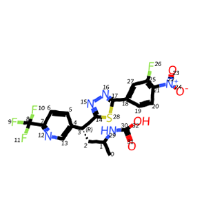 CC(C[C@H](c1ccc(C(F)(F)F)nc1)c1nnc(-c2ccc([N+](=O)[O-])c(F)c2)s1)NC(=O)O